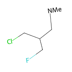 CNCC(CF)CCl